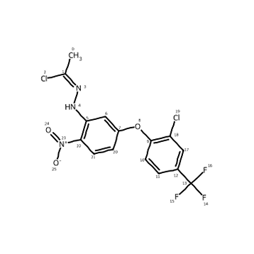 CC(Cl)=NNc1cc(Oc2ccc(C(F)(F)F)cc2Cl)ccc1[N+](=O)[O-]